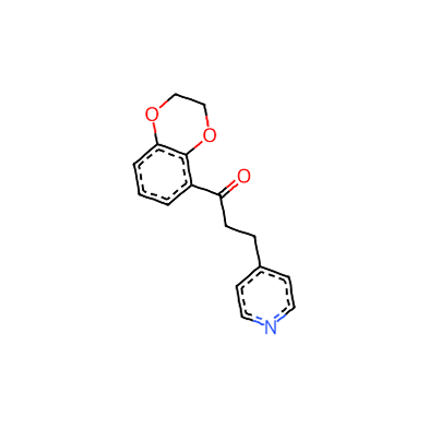 O=C(CCc1ccncc1)c1cccc2c1OCCO2